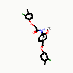 Cc1ccc(OCC(=O)NC23CCC(COc4ccc(C)c(F)c4)(CC2)CC3OC=O)cc1F